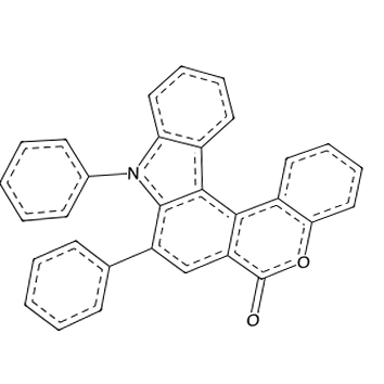 O=c1oc2ccccc2c2c1cc(-c1ccccc1)c1c2c2ccccc2n1-c1ccccc1